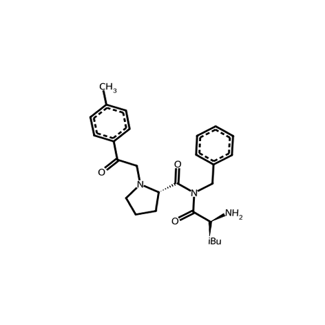 CC[C@H](C)[C@H](N)C(=O)N(Cc1ccccc1)C(=O)[C@@H]1CCCN1CC(=O)c1ccc(C)cc1